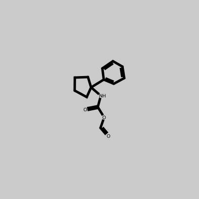 O=COC(=O)NC1(c2ccccc2)CCCC1